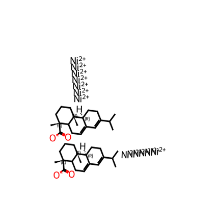 CC(C)C1=CC2=CCC3[C@](C)(C(=O)[O-])CCC[C@]3(C)[C@H]2CC1.CC(C)C1=CC2=CCC3[C@](C)(C(=O)[O-])CCC[C@]3(C)[C@H]2CC1.[Ni+2].[Ni+2].[Ni+2].[Ni+2].[Ni+2].[Ni+2].[Ni+2].[Ni+2].[Ni+2].[Ni+2].[Ni+2].[Ni+2].[Ni+2]